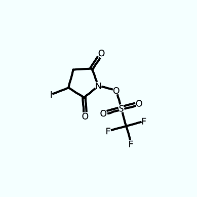 O=C1CC(I)C(=O)N1OS(=O)(=O)C(F)(F)F